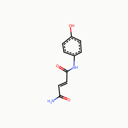 NC(=O)C=CC(=O)Nc1ccc(O)cc1